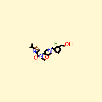 CC(C)C1=NC(C(=O)N2CCOC3(CCN(Cc4cccc(CCO)c4F)CC3)C2)CS1